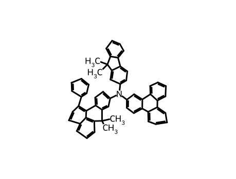 CC1(C)c2ccccc2-c2ccc(N(c3ccc4c(c3)C(C)(C)c3cccc5ccc(-c6ccccc6)c-4c35)c3ccc4c5ccccc5c5ccccc5c4c3)cc21